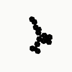 CC1(C)c2cc(-c3ccc4ccccc4c3)ccc2-c2ccc(N(c3ccc(-c4ccc(-n5c6ccccc6c6ccccc65)cc4)cc3)c3cccc4c3-c3ccccc3C4(c3ccccc3)c3ccccc3)cc21